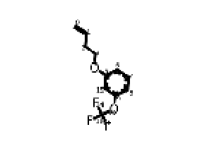 C=CCCOc1cccc(OC(F)(F)F)c1